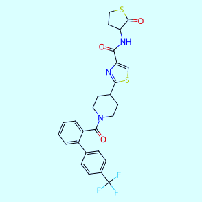 O=C(NC1CCSC1=O)c1csc(C2CCN(C(=O)c3ccccc3-c3ccc(C(F)(F)F)cc3)CC2)n1